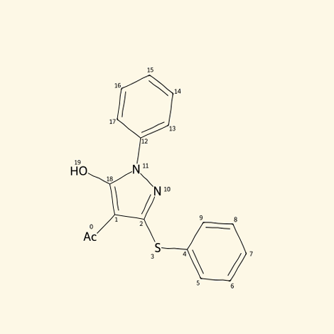 CC(=O)c1c(Sc2ccccc2)nn(-c2ccccc2)c1O